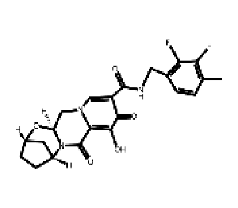 Cc1ccc(CNC(=O)c2cn3c(c(O)c2=O)C(=O)N2[C@@H]4CC[C@@H](C4)O[C@H]2C3)c(F)c1F